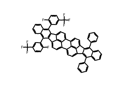 Fc1ccc(C(F)(F)F)cc1-c1c2c(c(-c3cc(C(F)(F)F)ccc3F)c3ccccc13)-c1ccc3c4ccc5c6c(ccc(c7ccc-2c1c73)c64)-c1c-5c(-c2ccccc2)c2ccccc2c1-c1ccccc1